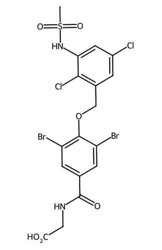 CS(=O)(=O)Nc1cc(Cl)cc(COc2c(Br)cc(C(=O)NCC(=O)O)cc2Br)c1Cl